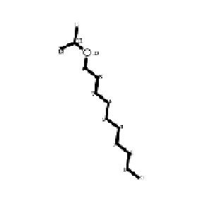 CCCCCCCCCCOC(C)C